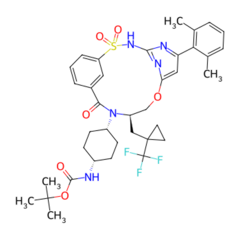 Cc1cccc(C)c1-c1cc2nc(n1)NS(=O)(=O)c1cccc(c1)C(=O)N([C@H]1CC[C@@H](NC(=O)OC(C)(C)C)CC1)[C@H](CC1(C(F)(F)F)CC1)CO2